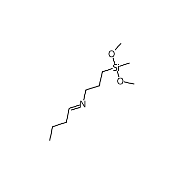 CCCC=NCCC[Si](C)(OC)OC